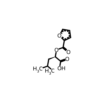 CC(C)C[C@@H](OC(=O)c1ccco1)C(=O)O